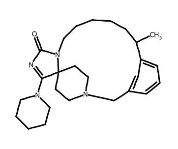 CC1CCCCCN2C(=O)N=C(N3CCCCC3)C23CCN(CC3)Cc2cccc1c2